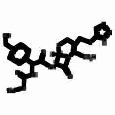 CC(C)(C)OC(=O)NC(C(=O)N[C@@H]1C(=O)N2C(C(=O)O)=C(CSc3cnn[nH]3)CS[C@@H]12)c1ccc(CO)cc1